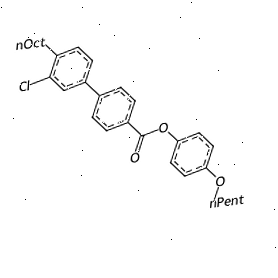 CCCCCCCCc1ccc(-c2ccc(C(=O)Oc3ccc(OCCCCC)cc3)cc2)cc1Cl